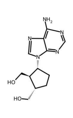 Nc1ncnc2c1ncn2[C@@H]1CC[C@H](CO)[C@H]1CO